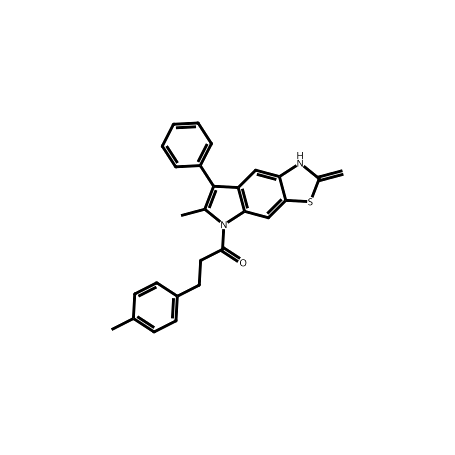 C=C1Nc2cc3c(-c4ccccc4)c(C)n(C(=O)CCc4ccc(C)cc4)c3cc2S1